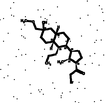 CCC[C@H]1[C@H]([C@@H]2CC[C@H](C(=O)CBr)[C@@H]2C)CC[C@H]2C[C@@](O)(COC)CC[C@@H]21